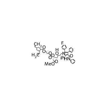 C=CC1CC(C=C)C(C(=O)OCCOC(=O)O[C@@H](CC(=O)OC)C[C@H](O)CCn2c(-c3ccc(F)cc3)c(-c3ccccc3)c(C(=O)Nc3ccccc3)c2C(C)C)C1